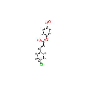 O=Cc1ccc(OC(=O)/C=C/c2ccc(Cl)cc2)cc1